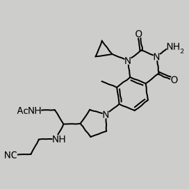 CC(=O)NCC(NCCC#N)C1CCN(c2ccc3c(=O)n(N)c(=O)n(C4CC4)c3c2C)C1